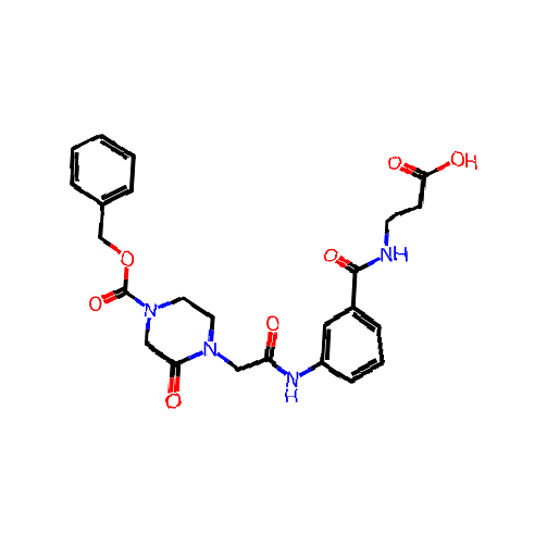 O=C(O)CCNC(=O)c1cccc(NC(=O)CN2CCN(C(=O)OCc3ccccc3)CC2=O)c1